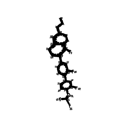 CCCc1ccc2c(F)c(-c3ccc(-c4ccc(OC(F)F)c(F)c4)c(F)c3)ccc2c1